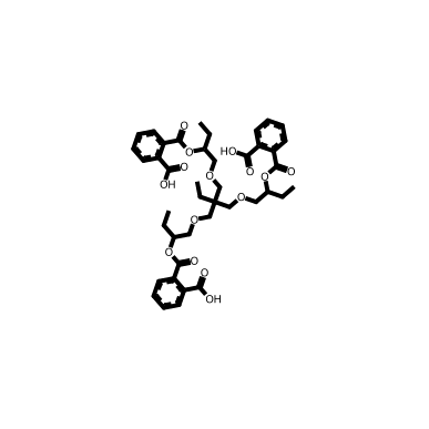 CCC(COCC(CC)(COCC(CC)OC(=O)c1ccccc1C(=O)O)COCC(CC)OC(=O)c1ccccc1C(=O)O)OC(=O)c1ccccc1C(=O)O